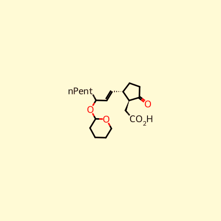 CCCCCC(C=C[C@@H]1CCC(=O)[C@H]1CC(=O)O)OC1CCCCO1